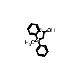 CCC(O)C[Si](C)(c1ccccc1)c1ccccc1